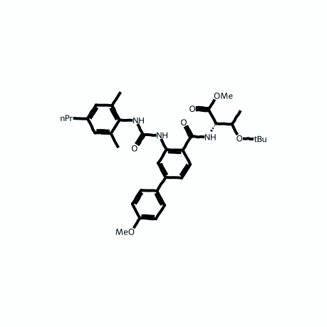 CCCc1cc(C)c(NC(=O)Nc2cc(-c3ccc(OC)cc3)ccc2C(=O)N[C@H](C(=O)OC)C(C)OC(C)(C)C)c(C)c1